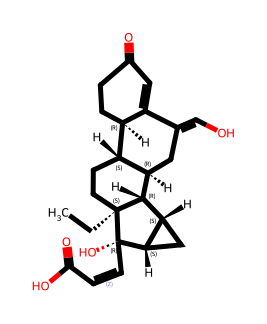 CC[C@]12CC[C@H]3[C@@H](CC(=CO)C4=CC(=O)CC[C@@H]43)[C@@H]1[C@@H]1C[C@@H]1[C@@]2(O)/C=C\C(=O)O